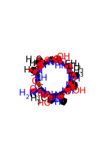 CCCC[C@H]1C(=O)N2CCC[C@@H]2C(=O)N[C@@H](CC(=O)O)C(=O)N[C@@H](C(C)C)C(=O)N(C)[C@@H](Cc2ccccc2)C(=O)N[C@@H](Cc2ccc(O)cc2)C(=O)N2CCC[C@@H]2C(=O)N[C@@H](Cc2c[nH]c3ccccc23)C(=O)N[C@@H](Cc2ccc(O)cc2)C(=O)N[C@@H](CC(C)C)C(=O)N[C@H](C(=O)NCC(N)=O)CSCC(=O)N[C@@H](Cc2ccccc2)C(=O)N(C)C(Cc2ccccc2)C(=O)N1C